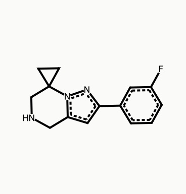 Fc1cccc(-c2cc3n(n2)C2(CC2)CNC3)c1